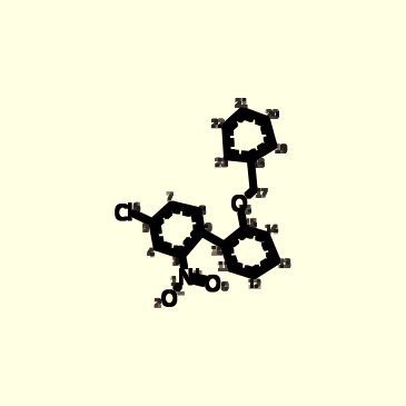 O=[N+]([O-])c1cc(Cl)ccc1-c1ccccc1OCc1ccccc1